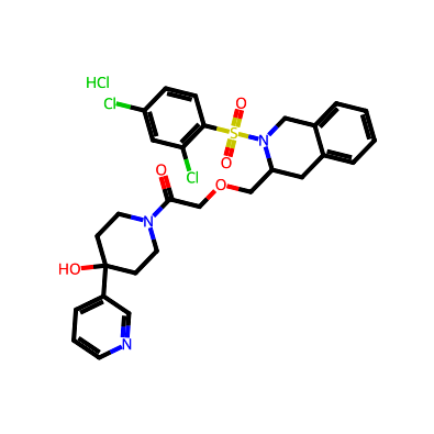 Cl.O=C(COCC1Cc2ccccc2CN1S(=O)(=O)c1ccc(Cl)cc1Cl)N1CCC(O)(c2cccnc2)CC1